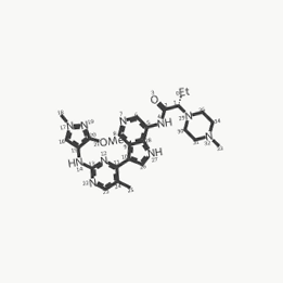 CC[C@@H](C(=O)Nc1cncc2c(-c3nc(Nc4cn(C)nc4OC)ncc3C)c[nH]c12)N1CCN(C)CC1